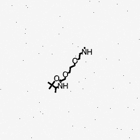 CNCCOCCCOCC(=O)NC(C)C(C)(C)C